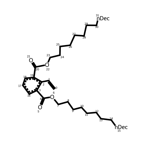 C=Cc1c(C(=O)OCCCCCCCCCCCCCCCCCC)cccc1C(=O)OCCCCCCCCCCCCCCCCCC